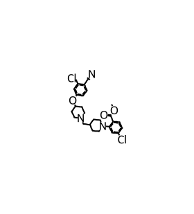 COC(=O)c1ccc(Cl)cc1N1CCC(CN2CCC(Oc3ccc(C#N)c(Cl)c3)CC2)CC1